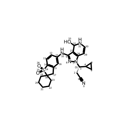 N#CC[C@@H](C1CC1)n1nc(Nc2ccc3c(c2)CC2(CCCCC2)S3(=O)=O)c2c1C=CNC2O